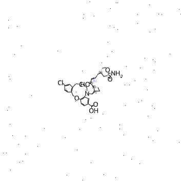 CC[C@@H](C/C=C/[C@H](O)[C@@H]1CC[C@H]1CN1CCCCc2cc(Cl)ccc2COc2ccc(C(=O)O)cc21)CS(N)(=O)=O